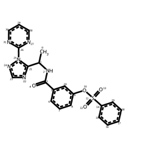 CC(NC(=O)c1cccc(OS(=O)(=O)c2ccccc2)c1)c1ncnn1-c1ncccn1